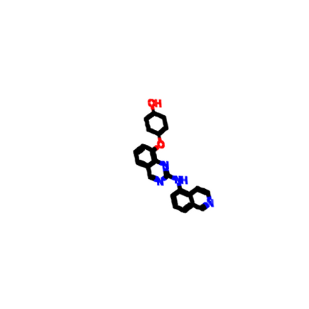 O[C@H]1CC[C@@H](Oc2cccc3cnc(Nc4cccc5cnccc45)nc23)CC1